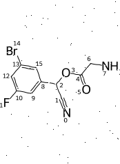 N#CC(OC(=O)CN)c1cc(F)cc(Br)c1